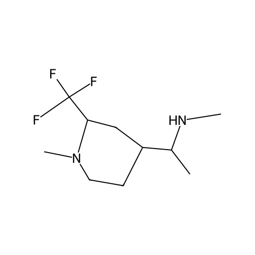 CNC(C)C1CCN(C)C(C(F)(F)F)C1